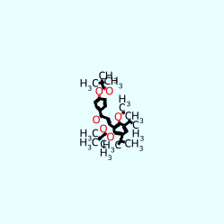 CCOc1c(C(C)C)cc(C(C)C)c(OC(=O)C(C)(C)C)c1C=CC(=O)c1ccc(OC(=O)C(C)(C)C)cc1